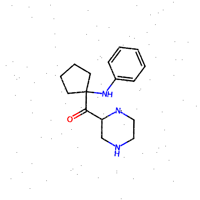 O=C(C1CNCC[N]1)C1(Nc2ccccc2)CCCC1